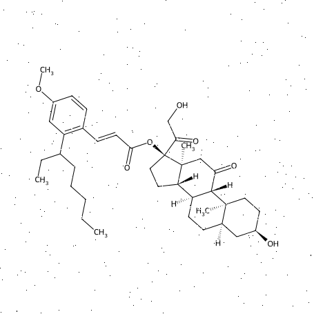 CCCCCC(CC)c1cc(OC)ccc1/C=C/C(=O)O[C@]1(C(=O)CO)CC[C@H]2[C@@H]3CC[C@@H]4C[C@H](O)CC[C@]4(C)[C@H]3C(=O)C[C@@]21C